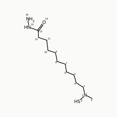 CN(S)CCCCCCCCCCC(=O)NN